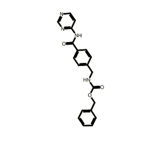 O=C(NCc1ccc(C(=O)Nc2ccncn2)cc1)OCc1ccccc1